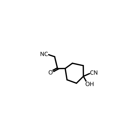 N#CCC(=O)C1CCC(O)(C#N)CC1